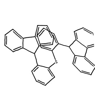 c1ccc(C2c3ccccc3-c3ccccc32)c(Sc2ccccc2C2c3ccccc3-c3ccccc32)c1